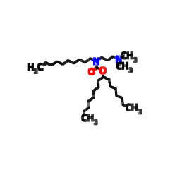 C=CCCCCCCCCN(CCCN(C)C)C(=O)OC(CCCCCCC)CCCCCCCC